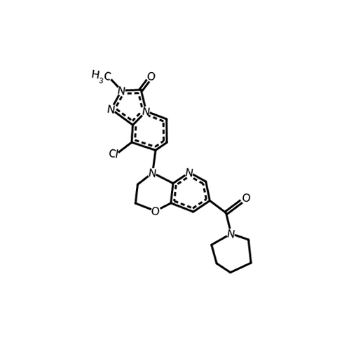 Cn1nc2c(Cl)c(N3CCOc4cc(C(=O)N5CCCCC5)cnc43)ccn2c1=O